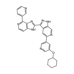 c1cncc(-c2nccc3[nH]c(-c4n[nH]c5cnc(-c6cncc(OC7CCCCC7)c6)cc45)nc23)c1